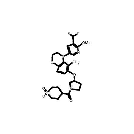 COc1ncc(N2CCOc3ccc(O[C@H]4CCN(C(=O)C5CCS(=O)(=O)CC5)C4)c(C)c32)cc1C(F)F